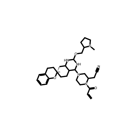 C=CC(=O)N1CCN(C2NC(OCC3CCCN3C)NC3C[C@]4(CCc5ccccc5O4)CCC32)CC1CC#N